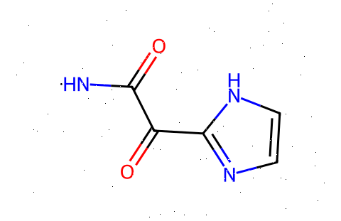 [NH]C(=O)C(=O)c1ncc[nH]1